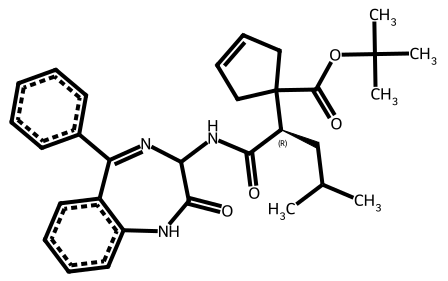 CC(C)C[C@@H](C(=O)NC1N=C(c2ccccc2)c2ccccc2NC1=O)C1(C(=O)OC(C)(C)C)CC=CC1